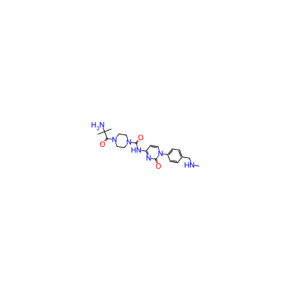 CNCc1ccc(-n2ccc(NC(=O)N3CCN(C(=O)C(C)(C)N)CC3)nc2=O)cc1